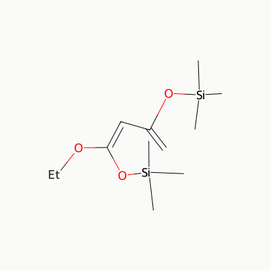 C=C(C=C(OCC)O[Si](C)(C)C)O[Si](C)(C)C